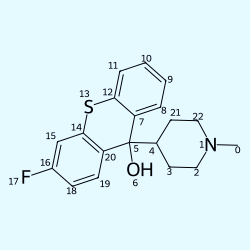 CN1CCC(C2(O)c3ccccc3Sc3cc(F)ccc32)CC1